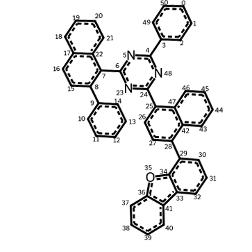 c1ccc(-c2nc(-c3c(-c4ccccc4)ccc4ccccc34)nc(-c3ccc(-c4cccc5c4oc4ccccc45)c4ccccc34)n2)cc1